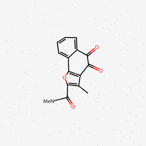 CNC(=O)c1oc2c(c1C)C(=O)C(=O)c1ccccc1-2